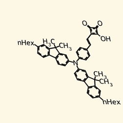 CCCCCCc1ccc2c(c1)C(C)(C)c1cc(N(c3ccc(/C=C/c4c(O)c(=O)c4=O)cc3)c3ccc4c(c3)C(C)(C)c3cc(CCCCCC)ccc3-4)ccc1-2